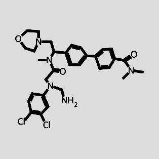 CN(C)C(=O)c1ccc(-c2ccc(C(CN3CCOCC3)N(C)C(=O)CN(CN)c3ccc(Cl)c(Cl)c3)cc2)cc1